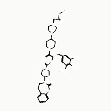 CCCOC(=O)CN1CCN(C2CCN(C(=O)[C@@H](Cc3cc(C)c(O)c(C)c3)OC(=O)N3CCC(N4CCc5ccccc5NC4=O)CC3)CC2)CC1